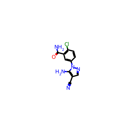 N#Cc1cnn(-c2ccc(Cl)c(C(N)=O)c2)c1N